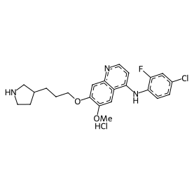 COc1cc2c(Nc3ccc(Cl)cc3F)ccnc2cc1OCCCC1CCNC1.Cl